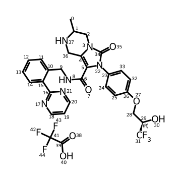 CC1Cn2c(c(C(=O)NCc3ccccc3-c3ncccn3)n(-c3ccc(OC[C@@H](O)C(F)(F)F)cc3)c2=O)CN1.O=C(O)C(F)(F)F